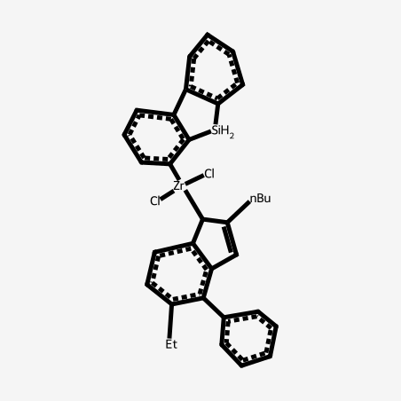 CCCCC1=Cc2c(ccc(CC)c2-c2ccccc2)[CH]1[Zr]([Cl])([Cl])[c]1cccc2c1[SiH2]c1ccccc1-2